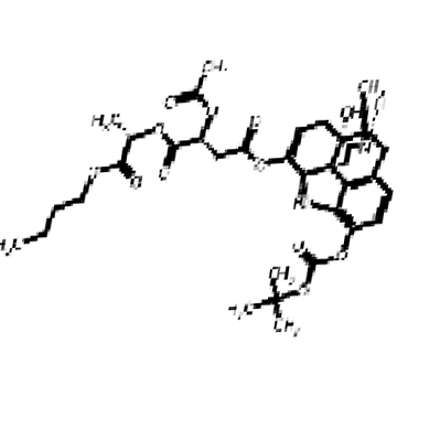 CCCCOC(=O)[C@H](C)OC(=O)[C@H](CC(=O)OC1=CC[C@@]2(O)[C@H]3Cc4ccc(OC(=O)OC(C)(C)C)c5c4[C@@]2(CCN3C)[C@H]1O5)OC(C)=O